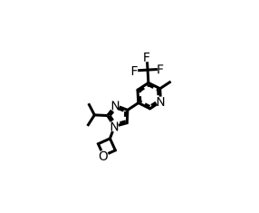 Cc1ncc(-c2cn(C3COC3)c(C(C)C)n2)cc1C(F)(F)F